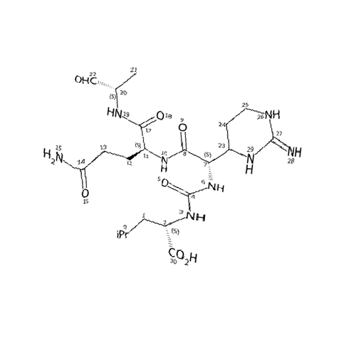 CC(C)C[C@H](NC(=O)N[C@H](C(=O)N[C@@H](CCC(N)=O)C(=O)N[C@@H](C)C=O)C1CCNC(=N)N1)C(=O)O